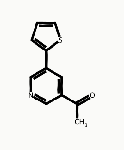 CC(=O)c1cncc(-c2cccs2)c1